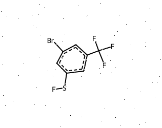 FSc1cc(Br)cc(C(F)(F)F)c1